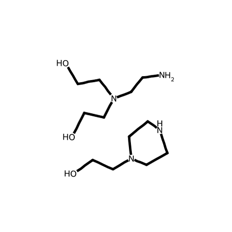 NCCN(CCO)CCO.OCCN1CCNCC1